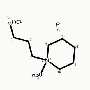 CCCCCCCCCCC[N+]1(CCCC)CCCCC1.[F-]